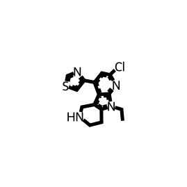 CCn1c2c(c3c(-c4cscn4)cc(Cl)nc31)CNCC2